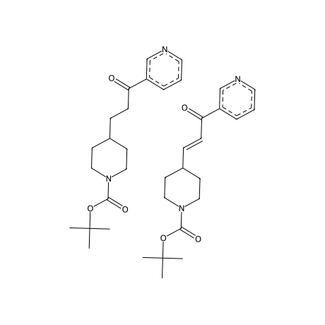 CC(C)(C)OC(=O)N1CCC(/C=C/C(=O)c2cccnc2)CC1.CC(C)(C)OC(=O)N1CCC(CCC(=O)c2cccnc2)CC1